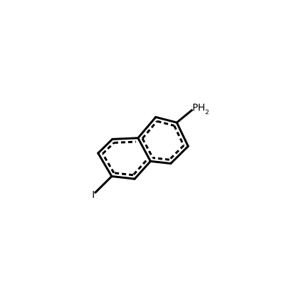 Pc1ccc2cc(I)ccc2c1